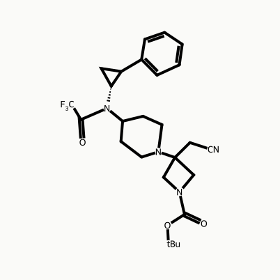 CC(C)(C)OC(=O)N1CC(CC#N)(N2CCC(N(C(=O)C(F)(F)F)[C@@H]3CC3c3ccccc3)CC2)C1